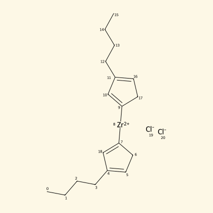 CCCCC1=CC[C]([Zr+2][C]2=CC(CCCC)=CC2)=C1.[Cl-].[Cl-]